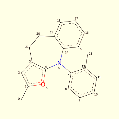 Cc1cc2c(o1)N(c1ccccc1C)c1ccccc1CC2